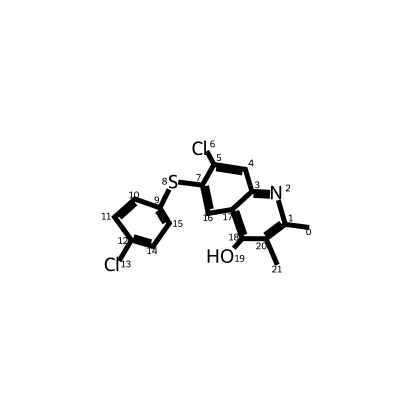 Cc1nc2cc(Cl)c(Sc3ccc(Cl)cc3)cc2c(O)c1C